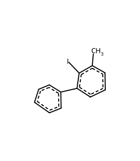 Cc1cccc(-c2ccccc2)c1I